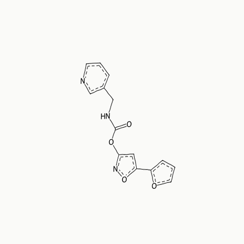 O=C(NCc1cccnc1)Oc1cc(-c2ccco2)on1